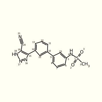 CS(=O)(=O)Nc1cccc(-c2cccc(-c3nn[nH]c3C#N)c2)c1